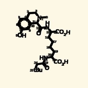 CN1CCc2ccc(O)cc2C1C(=O)NC(CCCCC(NC(=O)CC(C)(C)C)C(=O)O)C(=O)O